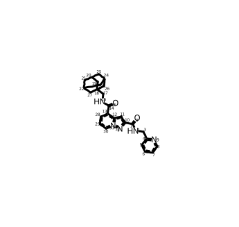 O=C(NCc1ccccn1)c1cc2c(C(=O)NCC34CC5CC(CC(C5)C3)C4)cccn2n1